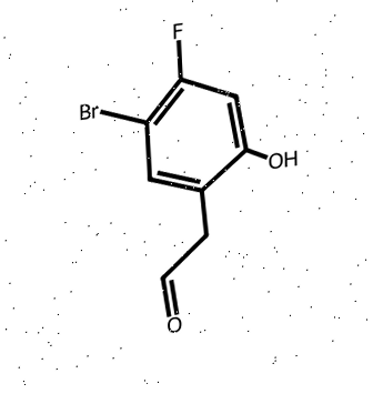 O=CCc1cc(Br)c(F)cc1O